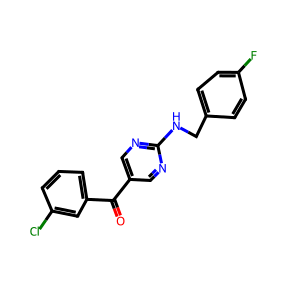 O=C(c1cnc(NCc2ccc(F)cc2)nc1)c1cccc(Cl)c1